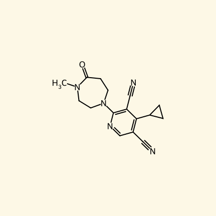 CN1CCN(c2ncc(C#N)c(C3CC3)c2C#N)CCC1=O